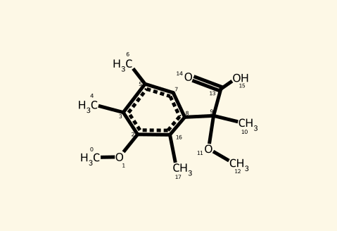 COc1c(C)c(C)cc(C(C)(OC)C(=O)O)c1C